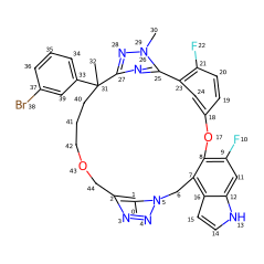 Cc1c2nnn1Cc1c(c(F)cc3[nH]ccc13)Oc1ccc(F)c(c1)-c1nc(nn1C)C(C)(c1cccc(Br)c1)CCCOC2